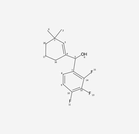 CC1(C)C=C(C(O)c2ccc(F)c(F)c2F)CCC1